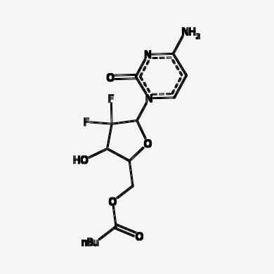 CCCCC(=O)OCC1OC(n2ccc(N)nc2=O)C(F)(F)C1O